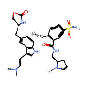 CCN1CCCC1CNC(=O)c1cc(S(N)(=O)=O)ccc1OC.CN(C)CCc1c[nH]c2ccc(C[C@H]3COC(=O)N3)cc12